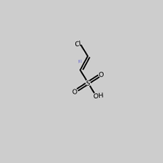 O=S(=O)(O)/C=C/Cl